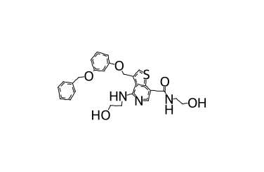 O=C(NCCO)c1cnc(NCCO)c2c(COc3cccc(OCc4ccccc4)c3)csc12